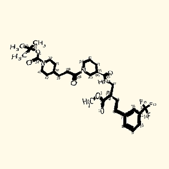 COC(=O)[C@H](CCc1cccc(C(F)(F)F)c1)CNC(=O)[C@@H]1CCCN(C(=O)CCC2CCN(C(=O)OC(C)(C)C)CC2)C1